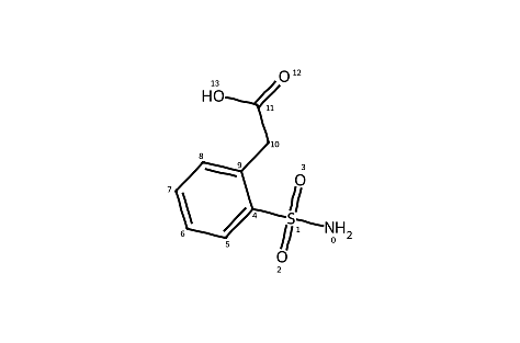 NS(=O)(=O)c1ccccc1CC(=O)O